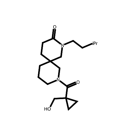 CC(C)CCN1CC2(CCCN(C(=O)C3(CO)CC3)C2)CCC1=O